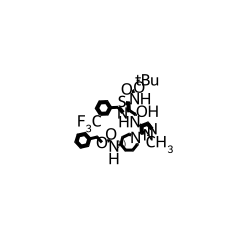 Cn1ncc(NC(O)c2nc(-c3cccc(C(F)(F)F)c3)sc2NC(=O)OC(C)(C)C)c1N1CCC[C@@H](NC(=O)OCc2ccccc2)CC1